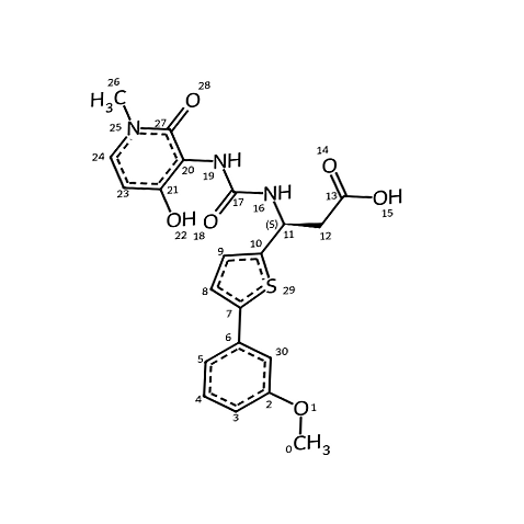 COc1cccc(-c2ccc([C@H](CC(=O)O)NC(=O)Nc3c(O)ccn(C)c3=O)s2)c1